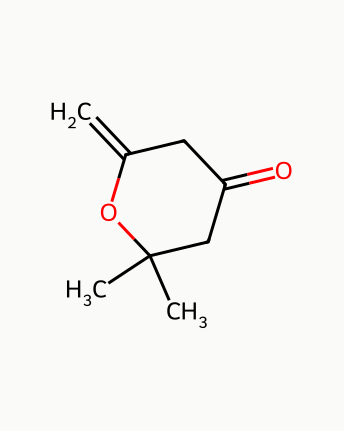 C=C1CC(=O)CC(C)(C)O1